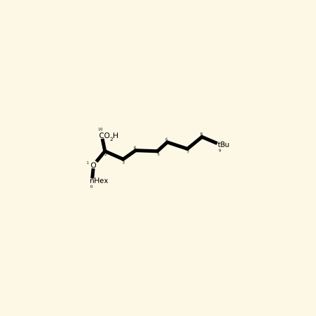 CCCCCCOC(CCCCCCC(C)(C)C)C(=O)O